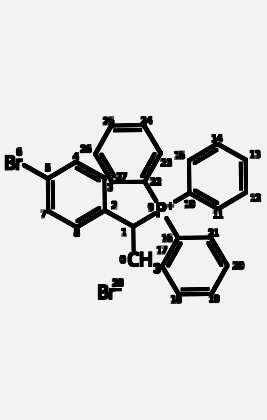 CC(c1ccc(Br)cc1)[P+](c1ccccc1)(c1ccccc1)c1ccccc1.[Br-]